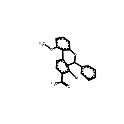 COc1cccc2c1-c1ccc(C(C)=O)c(Br)c1C(c1ccccc1)O2